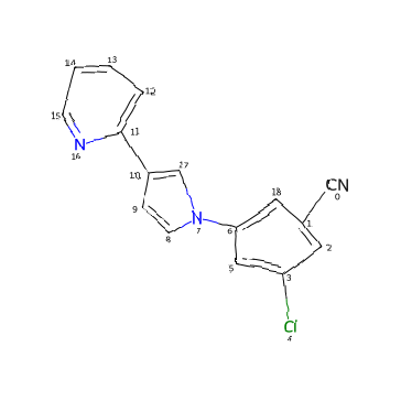 N#Cc1cc(Cl)cc(-n2ccc(-c3ccccn3)c2)c1